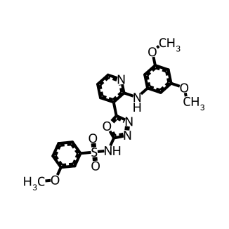 COc1cc(Nc2ncccc2-c2nnc(NS(=O)(=O)c3cccc(OC)c3)o2)cc(OC)c1